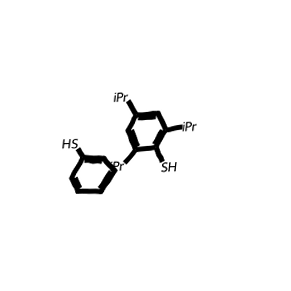 CC(C)c1cc(C(C)C)c(S)c(C(C)C)c1.Sc1ccccc1